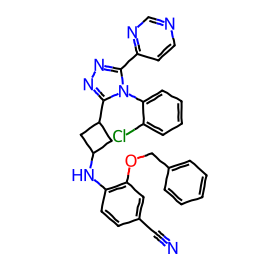 N#Cc1ccc(NC2CC(c3nnc(-c4ccncn4)n3-c3ccccc3Cl)C2)c(OCc2ccccc2)c1